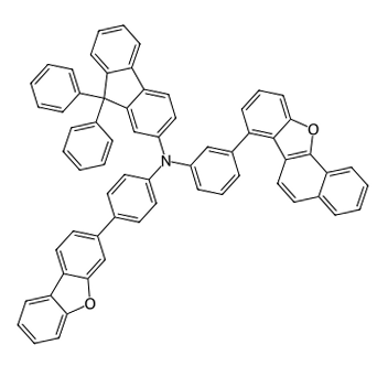 c1ccc(C2(c3ccccc3)c3ccccc3-c3ccc(N(c4ccc(-c5ccc6c(c5)oc5ccccc56)cc4)c4cccc(-c5cccc6oc7c8ccccc8ccc7c56)c4)cc32)cc1